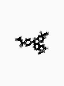 CNc1ncc(C(=O)N2CCN(C(=O)C3CC3)CC2)c(N2CCC(C)(C#N)CC2)c1C=N